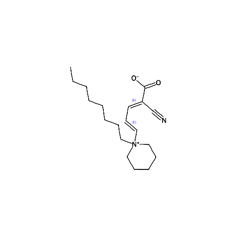 CCCCCCCC[N+]1(/C=C/C=C(\C#N)C(=O)[O-])CCCCC1